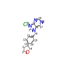 C1CCOC1.ClN1CN(Cc2ccccc2)c2cncnc21